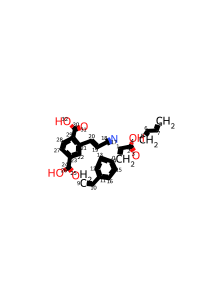 C=CC(=O)O.C=CC=C.C=Cc1ccccc1.N#CC=Cc1cc(C(=O)O)ccc1C(=O)O